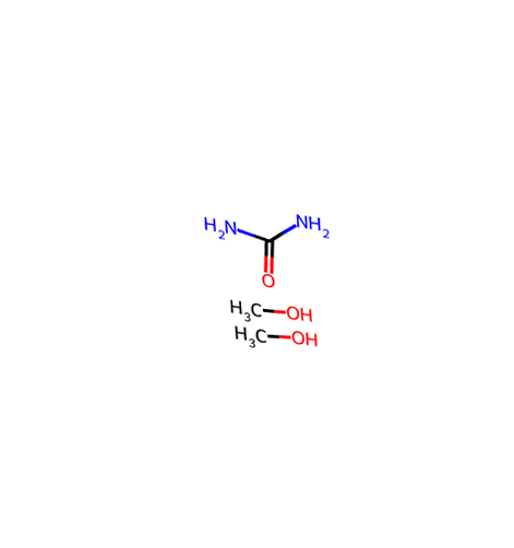 CO.CO.NC(N)=O